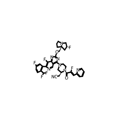 N#CC[C@H]1CN(c2nc(OC[C@@]34CCCN3C[C@H](F)C4)nc3c(F)c(-c4cc(F)ccc4C(F)F)ncc23)CCN1C(=O)/C(F)=C/c1ccccn1